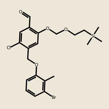 Cc1c(Br)cccc1OCc1cc(OCOCC[Si](C)(C)C)c(C=O)cc1Cl